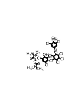 CN(C)C(=S)SSC(=S)N(C)C.ClC1C(Cl)C(Cl)C(Cl)C(Cl)C1Cl.Oc1c(Cl)cc(Cl)cc1Cl.Oc1c(Cl)cc(Cl)cc1Cl.[Cu]